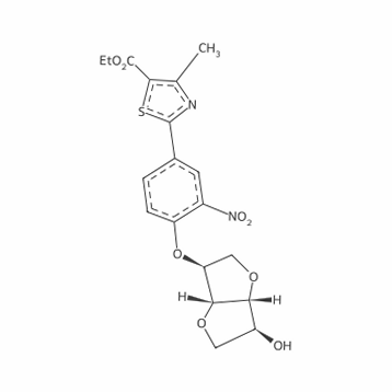 CCOC(=O)c1sc(-c2ccc(O[C@H]3CO[C@H]4[C@@H]3OC[C@@H]4O)c([N+](=O)[O-])c2)nc1C